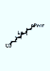 CCCCCCCCCCCC[CH2][Co].[La]